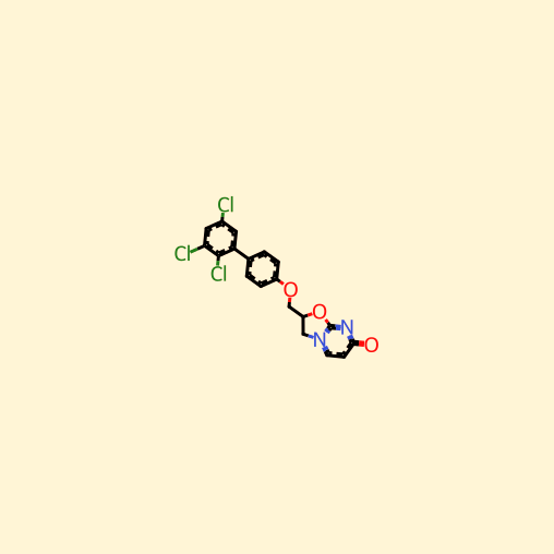 O=c1ccn2c(n1)OC(COc1ccc(-c3cc(Cl)cc(Cl)c3Cl)cc1)C2